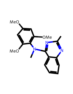 COc1cc(OC)c(N(C)c2nc(C)nc3ccccc23)c(OC)c1